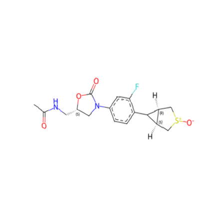 CC(=O)NC[C@H]1CN(c2ccc(C3[C@H]4C[S+]([O-])C[C@@H]34)c(F)c2)C(=O)O1